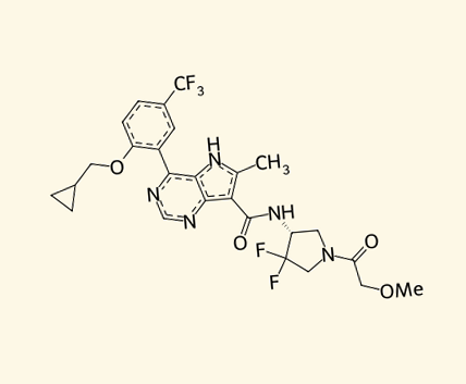 COCC(=O)N1C[C@@H](NC(=O)c2c(C)[nH]c3c(-c4cc(C(F)(F)F)ccc4OCC4CC4)ncnc23)C(F)(F)C1